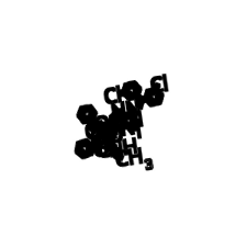 CCNC(=O)C1OC(n2cnc3c(NCC(c4cccc(Cl)c4)c4cccc(Cl)c4)nc(I)nc32)C(OC(=O)c2ccccc2)C1OC(=O)c1ccccc1